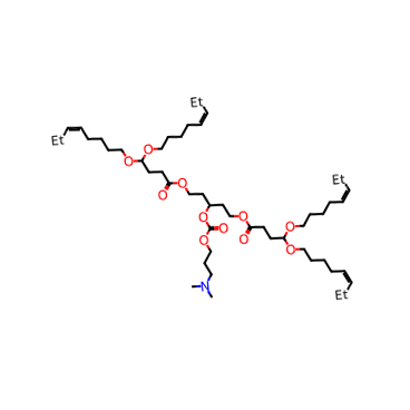 CC/C=C\CCCCOC(CCC(=O)OCCC(CCOC(=O)CCC(OCCCC/C=C\CC)OCCCC/C=C\CC)OC(=O)OCCCN(C)C)OCCCC/C=C\CC